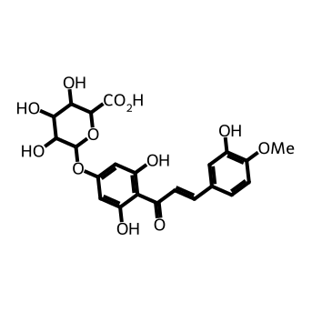 COc1ccc(C=CC(=O)c2c(O)cc(OC3OC(C(=O)O)C(O)C(O)C3O)cc2O)cc1O